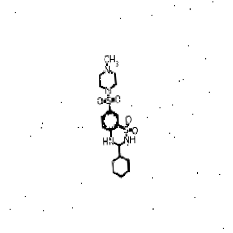 CN1CCN(S(=O)(=O)c2ccc3c(c2)S(=O)(=O)NC(C2CCCCC2)N3)CC1